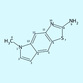 Cn1ccc2cc3sc(N)nc3cc21